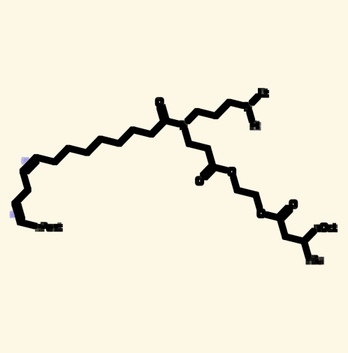 CCCCC/C=C\C/C=C\CCCCCCCC(=O)N(CCCN(CC)CC)CCC(=O)OCCOC(=O)CC(CCCC)CCCCCCCC